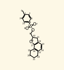 Cc1ccc(S(=O)(=O)OCC2Cc3ccc4c(c3O2)CCCC4)cc1